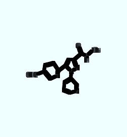 CC(C)(C)NC(=O)c1cc(-c2ccc(C=O)cn2)n(-c2cccnc2)n1